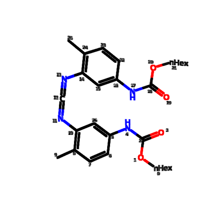 CCCCCCOC(=O)Nc1ccc(C)c(N=C=Nc2cc(NC(=O)OCCCCCC)ccc2C)c1